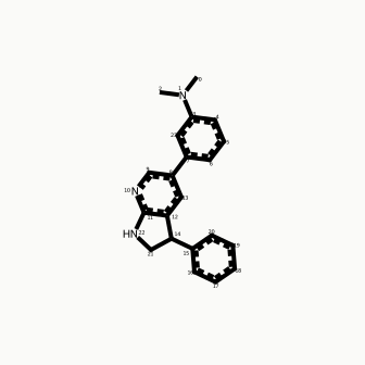 CN(C)c1cccc(-c2cnc3c(c2)C(c2ccccc2)CN3)c1